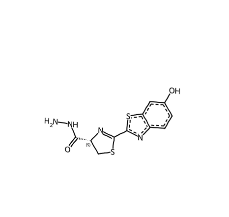 NNC(=O)[C@H]1CSC(c2nc3ccc(O)cc3s2)=N1